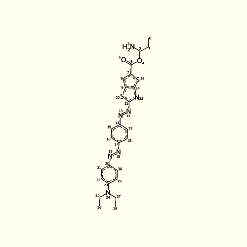 CCC(N)OC(=O)c1cc2sc(/N=N/c3ccc(/N=N/c4ccc(N(CC)CC)cc4)cc3)nc2s1